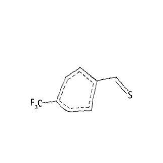 FC(F)(F)c1ccc(C=S)cc1